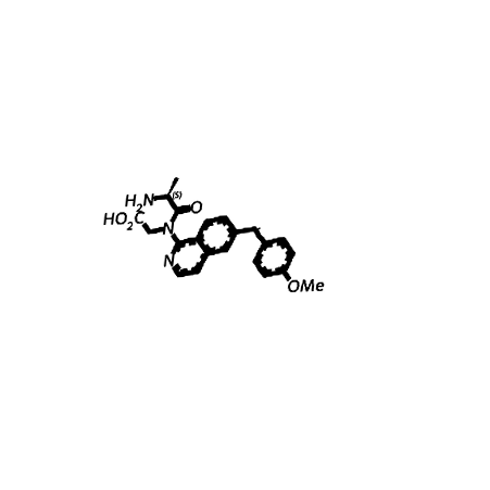 COc1ccc([CH]c2ccc3c(N(CC(=O)O)C(=O)[C@H](C)N)nccc3c2)cc1